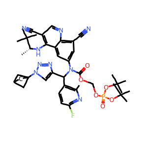 Cc1nc(F)ccc1C(c1cn(C23CC(C2)C3)nn1)N(C(=O)OCOP(=O)(OC(C)(C)C)OC(C)(C)C)c1cc(C#N)c2ncc(C#N)c(N[C@H](C)C(C)(C)C)c2c1